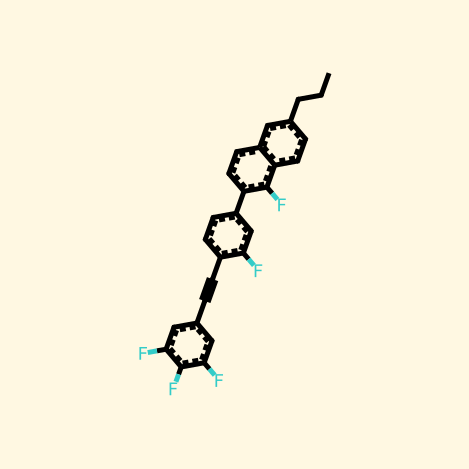 CCCc1ccc2c(F)c(-c3ccc(C#Cc4cc(F)c(F)c(F)c4)c(F)c3)ccc2c1